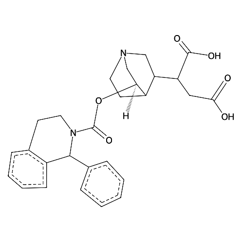 O=C(O)CC(C(=O)O)C1CN2CCC1[C@@H](OC(=O)N1CCc3ccccc3C1c1ccccc1)C2